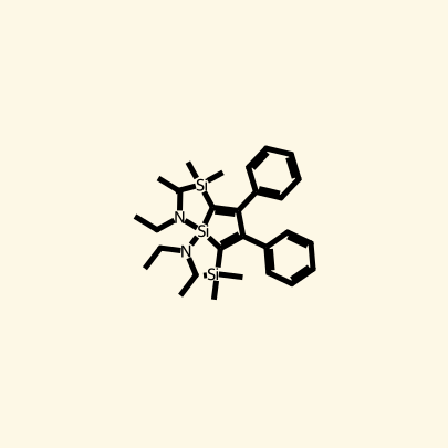 CCN(CC)[Si]1(N(CC)CC)C([Si](C)(C)C)=C(c2ccccc2)C(c2ccccc2)=C1[Si](C)(C)C